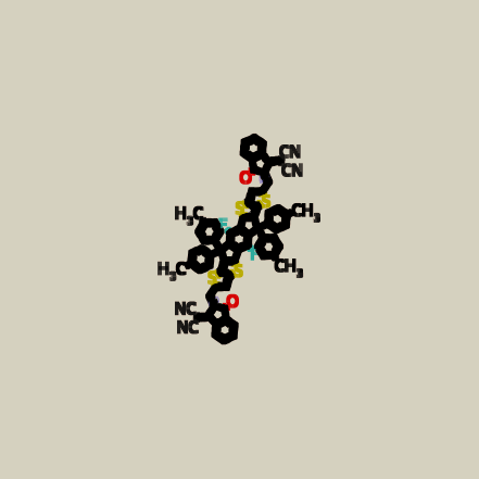 Cc1ccc(C2(c3ccc(C)cc3)c3c(F)c4c(c(F)c3-c3sc5cc(/C=C6\C(=O)c7ccccc7C6=C(C#N)C#N)sc5c32)C(c2ccc(C)cc2)(c2ccc(C)cc2)c2c-4sc3cc(/C=C4\C(=O)c5ccccc5C4=C(C#N)C#N)sc23)cc1